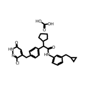 O=C(Nc1cccc(CC2CC2)c1)C(c1ccc(Cc2cc(=O)[nH]nc2Cl)cc1)C1CCCC1.O=C(O)O